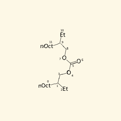 CCCCCCCCC(CC)COC(=O)OCC(CC)CCCCCCCC